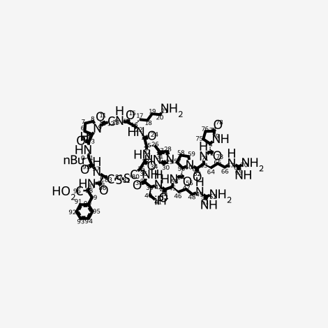 CCCC[C@@H]1NC(=O)[C@@H]2CCCN2C(=O)CNC(=O)[C@H](CCCCN)NC(=O)[C@H](Cc2cnc[nH]2)NC(=O)[C@@H](NC(=O)[C@H](CC(C)C)NC(=O)[C@H](CCCNC(=N)N)NC(=O)[C@@H]2CCCN2C(=O)[C@H](CCCNC(=N)N)NC(=O)[C@@H]2CCC(=O)N2)CSSC[C@@H](C(=O)N[C@@H](Cc2ccccc2)C(=O)O)NC1=O